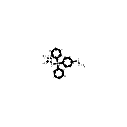 COc1ccc(S(OS(C)(=O)=O)(c2ccccc2)c2ccccc2)cc1